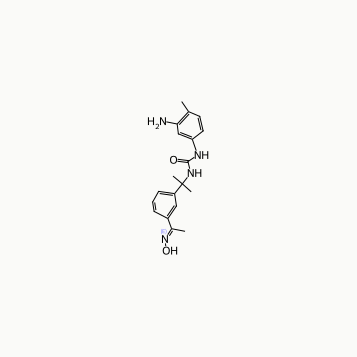 C/C(=N\O)c1cccc(C(C)(C)NC(=O)Nc2ccc(C)c(N)c2)c1